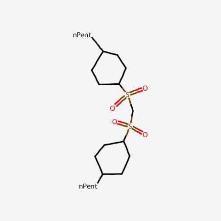 CCCCCC1CCC(S(=O)(=O)CS(=O)(=O)C2CCC(CCCCC)CC2)CC1